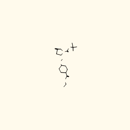 CCOC(=O)C1CCC(OC[C@@H]2CC(=O)CN2C(=O)OC(C)(C)C)CC1